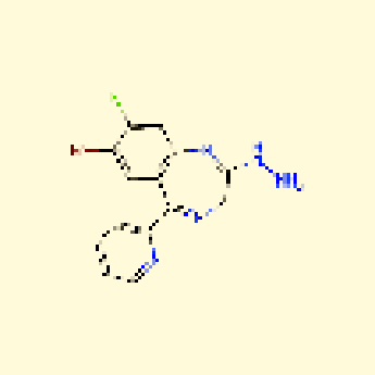 NNC1=Nc2cc(F)c(Br)cc2C(c2ccccn2)=NC1